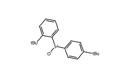 CC(C)(C)c1ccc([S+]([O-])c2ccccc2C(C)(C)C)cc1